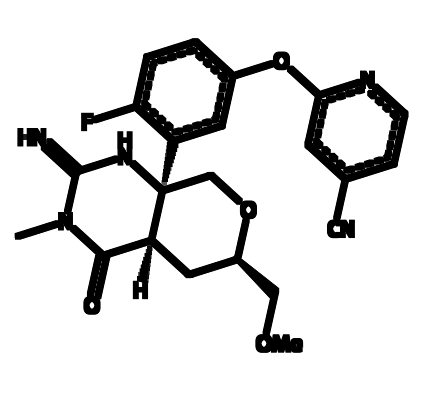 COC[C@H]1C[C@H]2C(=O)N(C)C(=N)N[C@@]2(c2cc(Oc3cc(C#N)ccn3)ccc2F)CO1